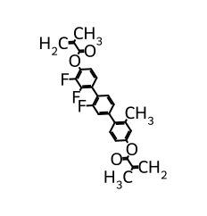 C=C(C)C(=O)Oc1ccc(-c2ccc(-c3ccc(OC(=O)C(=C)C)c(F)c3F)c(F)c2)c(C)c1